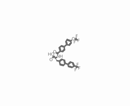 O=C(N[C@@H](Cc1ccc(-c2ccc(C(F)(F)F)cc2)cc1)C(=O)O)c1ccc(-c2ccc(OC(F)(F)F)cc2)cc1